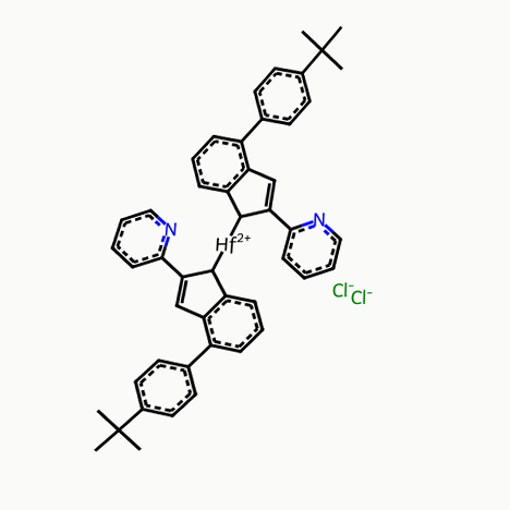 CC(C)(C)c1ccc(-c2cccc3c2C=C(c2ccccn2)[CH]3[Hf+2][CH]2C(c3ccccn3)=Cc3c(-c4ccc(C(C)(C)C)cc4)cccc32)cc1.[Cl-].[Cl-]